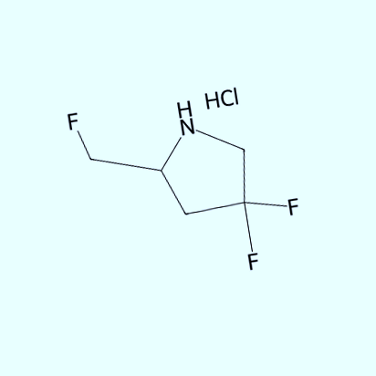 Cl.FCC1CC(F)(F)CN1